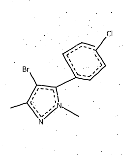 Cc1nn(C)c(-c2ccc(Cl)cc2)c1Br